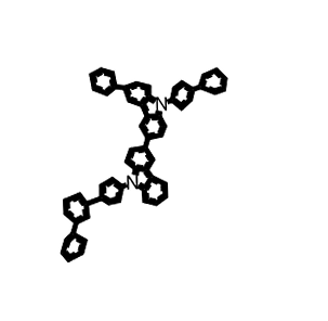 c1ccc(-c2ccc(-n3c4ccc(-c5ccccc5)cc4c4cc(-c5ccc6c(c5)c5ccccc5n6-c5ccc(-c6cccc(-c7ccccc7)c6)cc5)ccc43)cc2)cc1